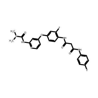 CN(C)C(=O)Nc1cc(Oc2ccc(NC(=O)CC(=O)Nc3ccc(F)cc3)c(F)c2)ccn1